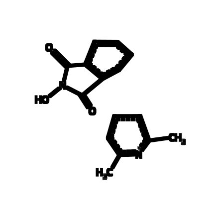 Cc1cccc(C)n1.O=C1c2ccccc2C(=O)N1O